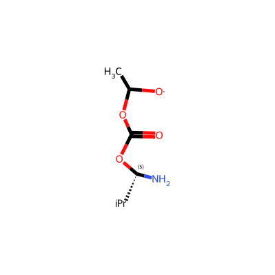 CC([O])OC(=O)O[C@H](N)C(C)C